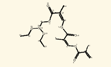 C=C(C)C(=O)OC=C(C)C(=O)OC=C(C)C(=O)OC[SiH](OCC)OCC